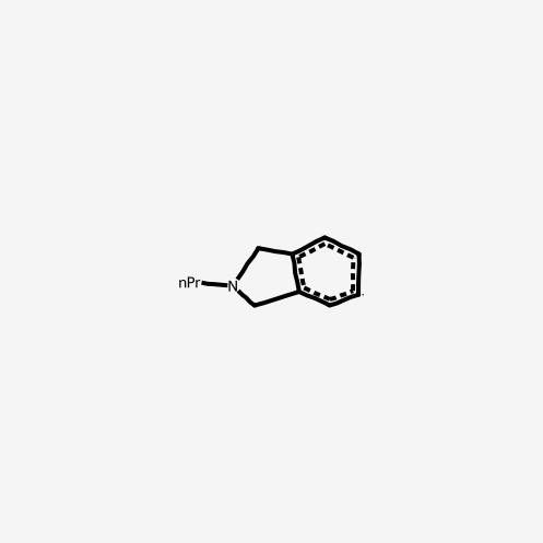 CCCN1Cc2c[c]ccc2C1